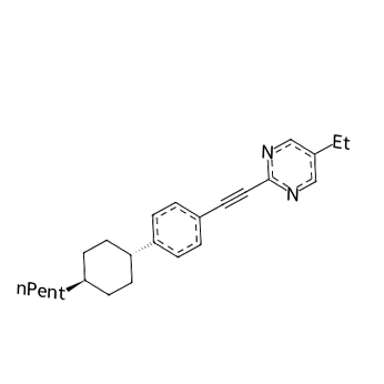 CCCCC[C@H]1CC[C@H](c2ccc(C#Cc3ncc(CC)cn3)cc2)CC1